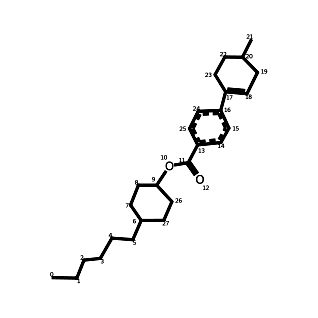 CCCCCCC1CCC(OC(=O)c2ccc(C3=CCC(C)CC3)cc2)CC1